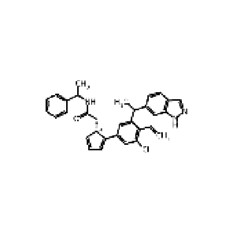 C=Cc1c(Cl)cc(C2=CC=C[C@@H]2CC(=O)NC(C)c2ccccc2)cc1C(C)c1ccc2cn[nH]c2c1